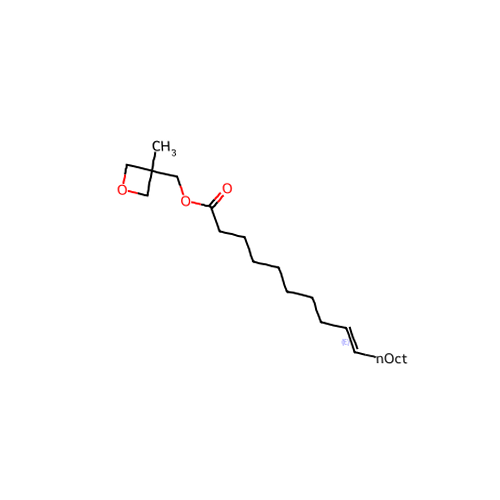 CCCCCCCC/C=C/CCCCCCCC(=O)OCC1(C)COC1